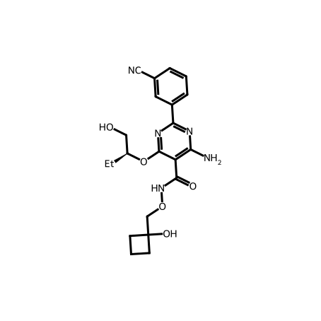 CC[C@@H](CO)Oc1nc(-c2cccc(C#N)c2)nc(N)c1C(=O)NOCC1(O)CCC1